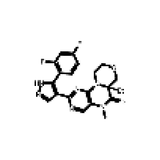 CC[C@]12COCCN1c1nc(-c3cn[nH]c3-c3ccc(F)cc3F)ncc1N(C)C2=O